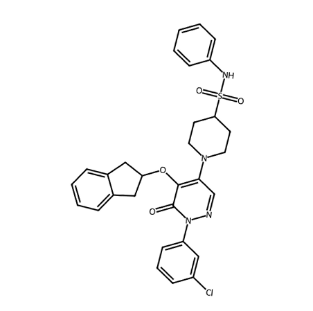 O=c1c(OC2Cc3ccccc3C2)c(N2CCC(S(=O)(=O)Nc3ccccc3)CC2)cnn1-c1cccc(Cl)c1